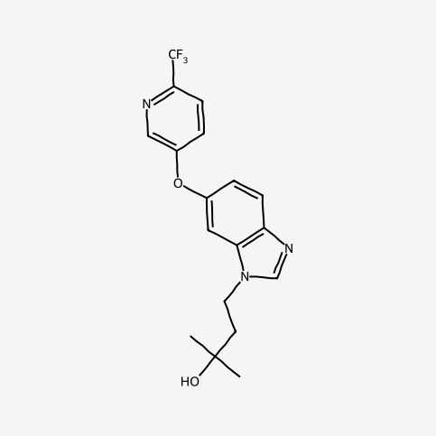 CC(C)(O)CCn1cnc2ccc(Oc3ccc(C(F)(F)F)nc3)cc21